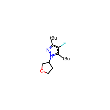 CC(C)(C)c1nn(C2CCOC2)c(C(C)(C)C)c1F